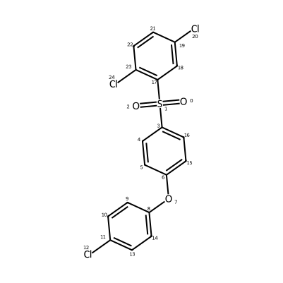 O=S(=O)(c1ccc(Oc2ccc(Cl)cc2)cc1)c1cc(Cl)ccc1Cl